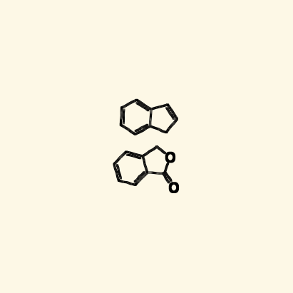 C1=Cc2ccccc2C1.O=C1OCc2ccccc21